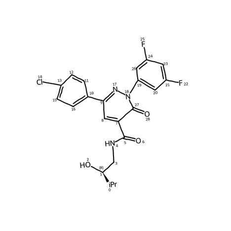 CC(C)[C@@H](O)CNC(=O)c1cc(-c2ccc(Cl)cc2)nn(-c2cc(F)cc(F)c2)c1=O